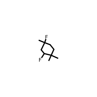 CC1(F)CCC(C)(C)C(F)C1